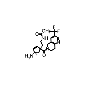 N[C@@H]1C=C[C@](CCNC(=O)O)(C(=O)N2CCc3ncc(C(F)(F)F)cc3C2)C1